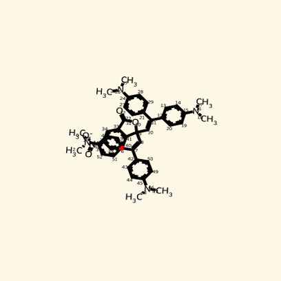 CN(C)c1ccc(C(=CC2(C=C(c3ccc(N(C)C)cc3)c3ccc(N(C)C)cc3)OC(=O)c3cc([N+](=O)[O-])ccc32)c2ccc(N(C)C)cc2)cc1